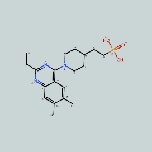 CCc1nc(N2CCC(CCP(=O)(O)O)CC2)c2cc(C)c(C)cc2n1